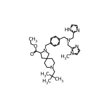 CCOC(=O)C1CC2(CCN(CC(C)(C)C)CC2)CN1Cc1ccc(CN(Cc2ncc[nH]2)Cc2nccn2C)cc1